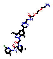 CC(=O)c1nn(CC(=O)N2C[C@H]3C[C@H]3[C@H]2C(=O)Nc2nc(Br)ccc2C)c2c(C)cc(-c3cnc(CNC(=O)COCCOCCN)nc3)cc12